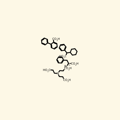 O=C(O)C(c1ccccc1)C1CCCCC1.O=C(O)CCN(CCC(=O)O)CCC(=O)O.O=C(O)[C@@H](Br)Cc1ccccc1.O=C(O)c1ccccc1-c1ccccc1